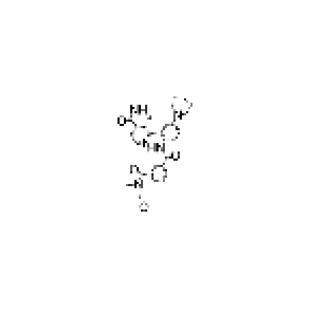 CN(CC=O)C(=O)c1cccc(C(=O)Nc2ccc(N3CCCCC3)cc2-c2cc(C(N)=O)ccn2)c1